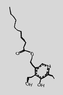 CCCCCCCC(=O)OCc1cnc(C)c(O)c1CO